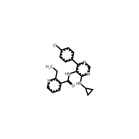 CCc1ncccc1C(=O)Nc1c(NC2CC2)ncnc1-c1ccc(Cl)cc1